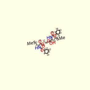 CSCCC(NC(=O)Oc1ccccc1)C(=O)OCCOC(O)C(CCSC)NC(=O)Oc1ccccc1